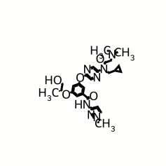 C[C@@H](CO)Oc1cc(Oc2cnc(N(CC3CC3)C(=O)CN(C)C)cn2)cc(C(=O)Nc2ccn(C)n2)c1